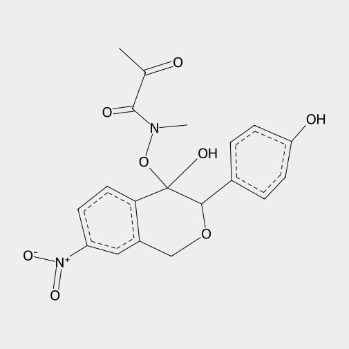 CC(=O)C(=O)N(C)OC1(O)c2ccc([N+](=O)[O-])cc2COC1c1ccc(O)cc1